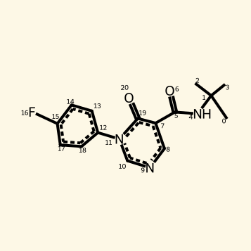 CC(C)(C)NC(=O)c1cncn(-c2ccc(F)cc2)c1=O